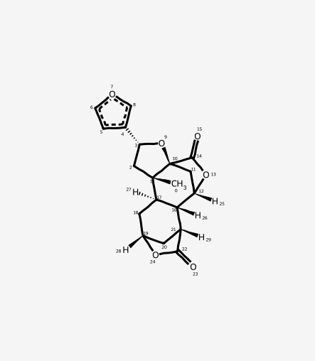 C[C@@]12C[C@H](c3ccoc3)O[C@@]13C[C@H](OC3=O)[C@H]1[C@H]2C[C@@H]2C[C@H]1C(=O)O2